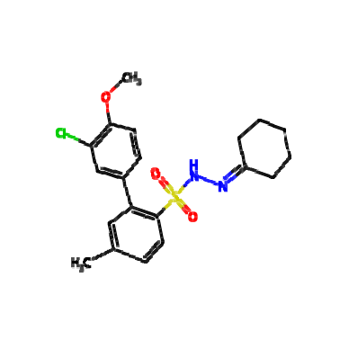 COc1ccc(-c2cc(C)ccc2S(=O)(=O)NN=C2CCCCC2)cc1Cl